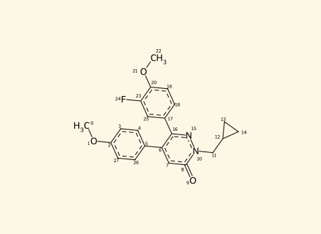 COc1ccc(-c2cc(=O)n(CC3CC3)nc2-c2ccc(OC)c(F)c2)cc1